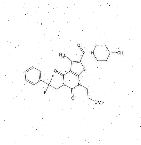 COCCn1c(=O)n(CC(F)(F)c2ccccc2)c(=O)c2c(C)c(C(=O)N3CCC(O)CC3)sc21